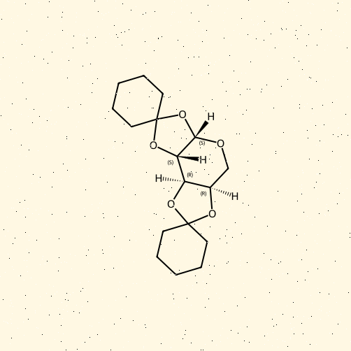 C1CCC2(CC1)O[C@@H]1OC[C@H]3OC4(CCCCC4)O[C@H]3[C@@H]1O2